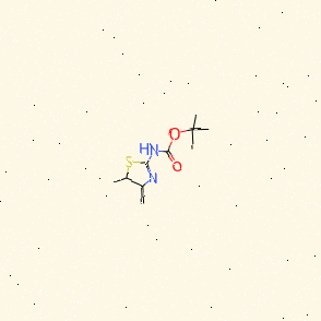 C=C1N=C(NC(=O)OC(C)(C)C)SC1C